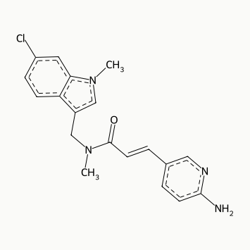 CN(Cc1cn(C)c2cc(Cl)ccc12)C(=O)/C=C/c1ccc(N)nc1